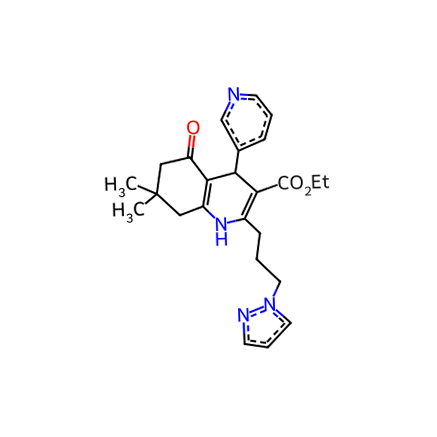 CCOC(=O)C1=C(CCCn2cccn2)NC2=C(C(=O)CC(C)(C)C2)C1c1cccnc1